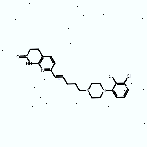 O=C1CCc2ccc(/C=C/CCCN3CCN(c4cccc(Cl)c4Cl)CC3)nc2N1